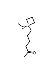 CO[Si]1(CCCCC(C)=O)CCC1